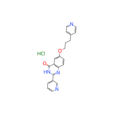 Cl.O=c1[nH]c(-c2cccnc2)nc2ccc(OCCCc3ccncc3)cc12